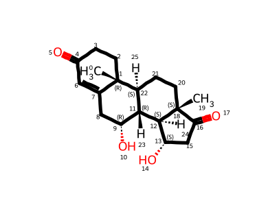 C[C@]12CCC(=O)C=C1C[C@@H](O)[C@H]1[C@@H]3[C@@H](O)CC(=O)[C@@]3(C)CC[C@@H]12